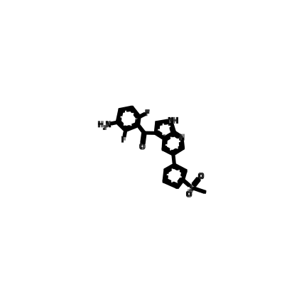 CS(=O)(=O)c1cccc(-c2cnc3[nH]cc(C(=O)c4c(F)ccc(N)c4F)c3c2)c1